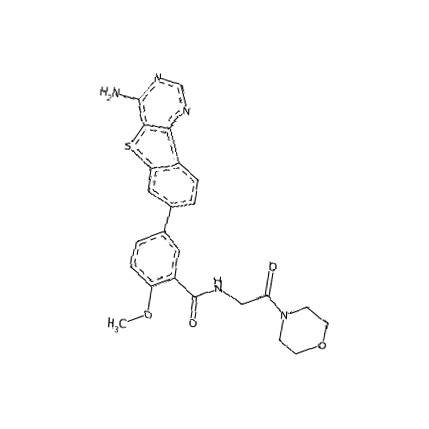 COc1ccc(-c2ccc3c(c2)sc2c(N)ncnc23)cc1C(=O)NCC(=O)N1CCOCC1